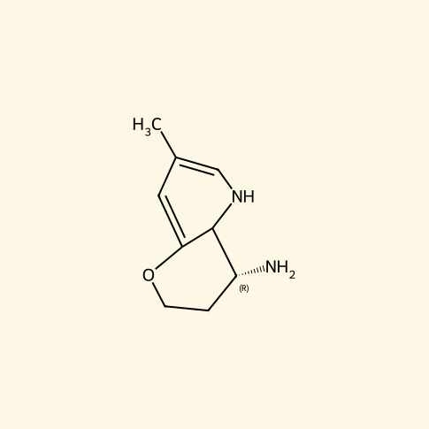 CC1=CNC2C(=C1)OCC[C@H]2N